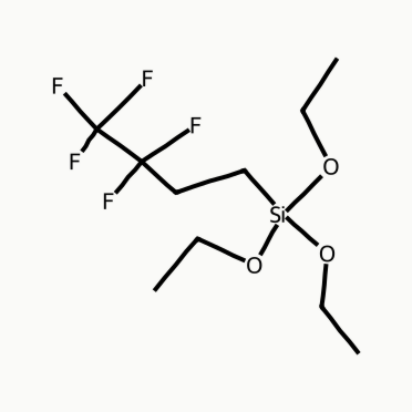 CCO[Si](CCC(F)(F)C(F)(F)F)(OCC)OCC